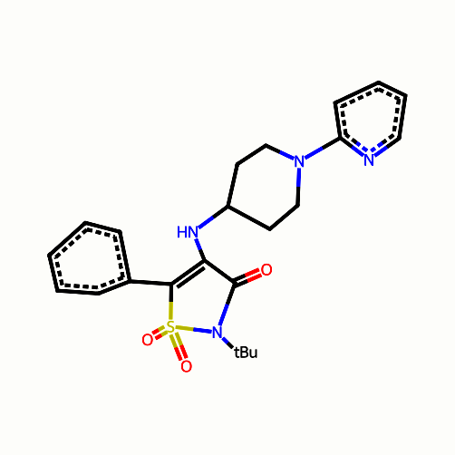 CC(C)(C)N1C(=O)C(NC2CCN(c3ccccn3)CC2)=C(c2ccccc2)S1(=O)=O